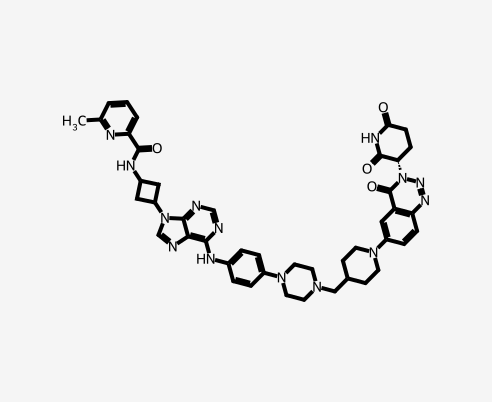 Cc1cccc(C(=O)NC2CC(n3cnc4c(Nc5ccc(N6CCN(CC7CCN(c8ccc9nnn([C@H]%10CCC(=O)NC%10=O)c(=O)c9c8)CC7)CC6)cc5)ncnc43)C2)n1